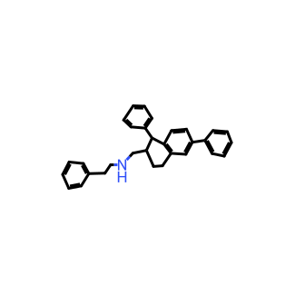 c1ccc(CCNCC2CCc3cc(-c4ccccc4)ccc3C2c2ccccc2)cc1